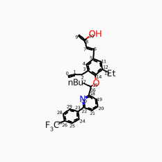 C=CCc1cc(/C=C/C(=C)O)cc(CC)c1OC(CCCC)c1cccc(-c2ccc(C(F)(F)F)cc2)n1